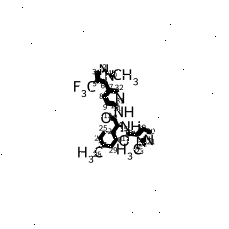 Cn1ncc(C(F)(F)F)c1-c1ccc(NC(=O)[C@@H](NC(=O)C2=CCN=[N+]2C)[C@H]2CC[C@H](C)CC2)nc1